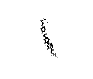 CCCC[C@H]1CC[C@H](CCc2ccc(-c3ccc(CCC)nn3)cc2)CC1